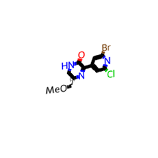 COC[C@@H]1CNC(=O)C(c2cc(Cl)nc(Br)c2)=N1